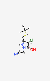 CC(C)(C)SCc1nn(CC#N)c(O)c1Cl